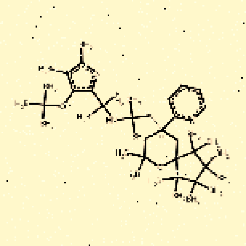 Bc1sc(C(B)(B)NC(B)(B)C[C@@]2(c3ccccn3)CC(B)(B)OC3(C2)C(B)(B)C(B)(B)C(B)(B)C3(B)B)c(OC(B)(B)B)c1B